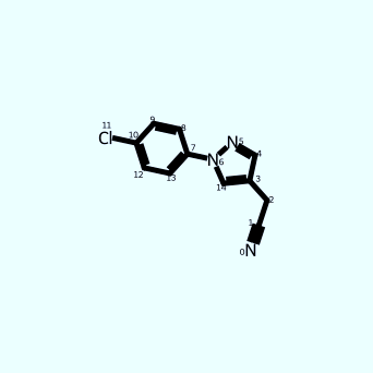 N#CCc1cnn(-c2ccc(Cl)cc2)c1